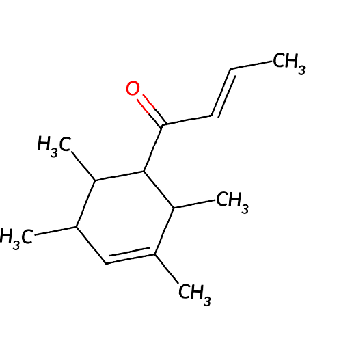 CC=CC(=O)C1C(C)C(C)=CC(C)C1C